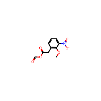 COc1c(CC(=O)OC=O)cccc1[N+](=O)[O-]